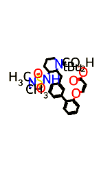 CN(C)S(=O)(=O)NC1CCCN(C(=O)O)C1Cc1cccc(-c2ccccc2O/C=C\C(=O)OC(C)(C)C)c1